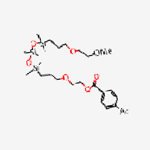 COCCOCCC[Si](C)(C)O[Si](C)(C)O[Si](C)(C)CCCOCCOC(=O)c1ccc(C(C)=O)cc1